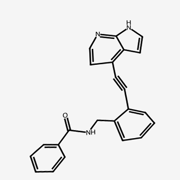 O=C(NCc1ccccc1C#Cc1ccnc2[nH]ccc12)c1ccccc1